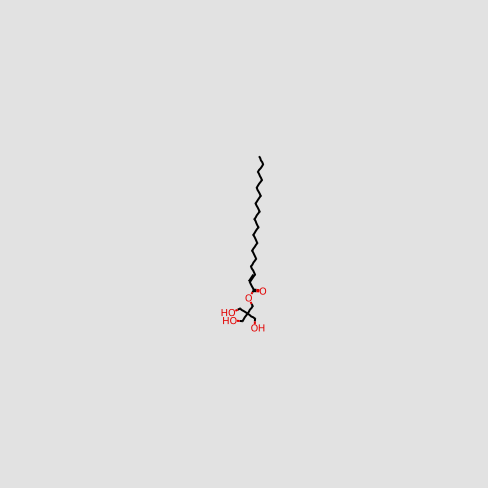 CCCCCCCCCCCCCCCC=CC(=O)OCC(CO)(CO)CO